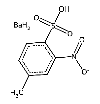 Cc1ccc(S(=O)(=O)O)c([N+](=O)[O-])c1.[BaH2]